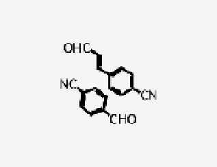 N#Cc1ccc(/C=C/C=O)cc1.N#Cc1ccc(C=O)cc1